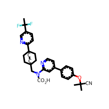 CC(C)(C#N)Oc1ccc(-c2ccnc(N(CC34CCC(c5ccc(C(C)(F)F)cn5)(CC3)CC4)C(=O)O)c2)cc1